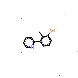 Cc1c(S)cccc1-c1ccccn1